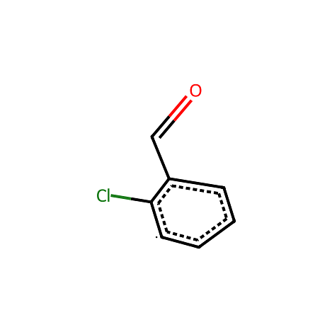 O=Cc1ccc[c]c1Cl